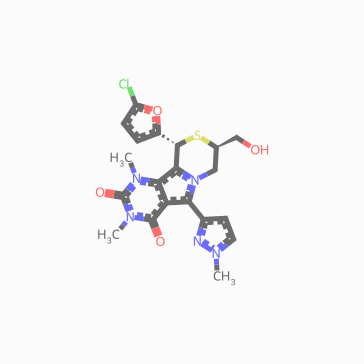 Cn1ccc(-c2c3c(=O)n(C)c(=O)n(C)c3c3n2C[C@H](CO)S[C@H]3c2ccc(Cl)o2)n1